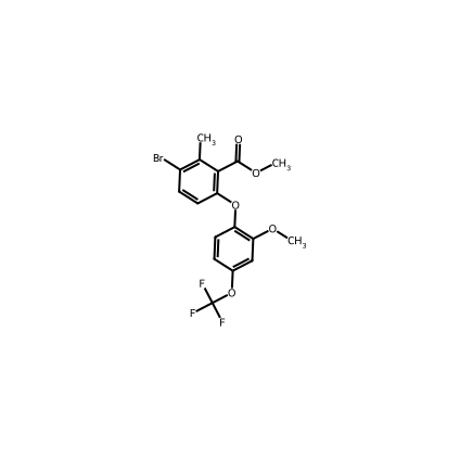 COC(=O)c1c(Oc2ccc(OC(F)(F)F)cc2OC)ccc(Br)c1C